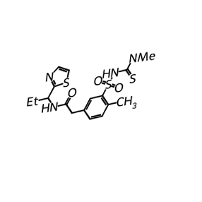 CCC(NC(=O)Cc1ccc(C)c(S(=O)(=O)NC(=S)NC)c1)c1nccs1